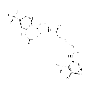 CC(COCCC(=O)N1CCN2c3ncc(C(F)(F)F)cc3NC(=O)CC2C1)Nc1cn[nH]c(=O)c1C(F)(F)F